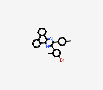 Cc1ccc(-c2nc3c4ccccc4c4ccccc4c3nc2-c2ccc(Br)cc2C)cc1